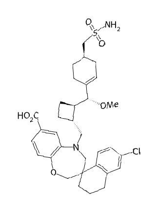 CO[C@@H](C1=CC[C@H](CS(N)(=O)=O)CC1)[C@@H]1CC[C@H]1CN1CC2(CCCc3cc(Cl)ccc32)COc2ccc(C(=O)O)cc21